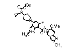 COc1cc2nn(C)cc2cc1NC(=O)c1c(F)cc(N2CCC(N(C(=O)OC(C)(C)C)C3CC3)CC2)c2cn(C)nc12